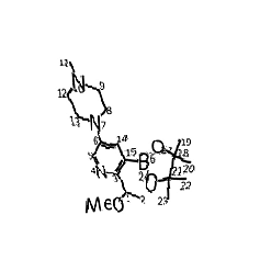 COC(C)c1ncc(N2CCN(C)CC2)cc1B1OC(C)(C)C(C)(C)O1